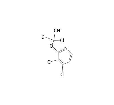 N#CC(Cl)(Cl)Oc1nccc(Cl)c1Cl